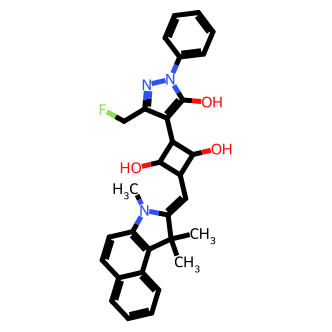 CN1C(=CC2C(O)C(c3c(CF)nn(-c4ccccc4)c3O)C2O)C(C)(C)c2c1ccc1ccccc21